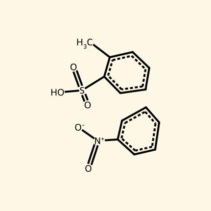 Cc1ccccc1S(=O)(=O)O.O=[N+]([O-])c1ccccc1